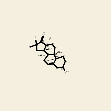 CC1(F)C[C@H]2[C@@H]3CC=C4CC(O)CC[C@]4(C)[C@@H]3CC[C@]2(C)C1=O